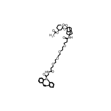 CC(=O)OC1CCC[C@]2(C1)OOC1(O2)C2CC3CC1CC(NC(=O)CCOCCOCCOCCOCCC(=O)NCC(=O)N1Cc4ccccc4C#Cc4ccccc41)(C3)C2